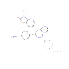 CN(C)C1CCN(c2nc(-c3ccc(C#N)cc3)c(-c3cnc4c(c3)oc(=O)n4C)c3nccn23)CC1